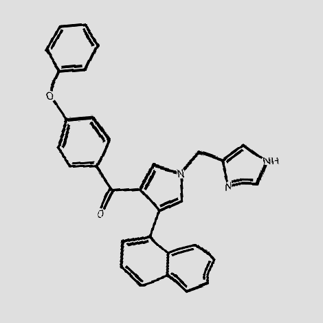 O=C(c1ccc(Oc2ccccc2)cc1)c1cn(Cc2c[nH]cn2)cc1-c1cccc2ccccc12